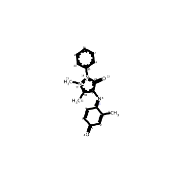 CC1=CC(=O)C=C/C1=N\c1c(C)n(C)n(-c2ccccc2)c1=O